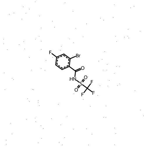 O=C(NS(=O)(=O)C(F)(F)F)c1ccc(F)cc1Br